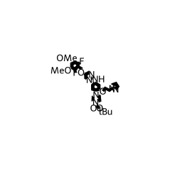 COc1cc(OC)c(F)c(COc2cnc(Nc3ccc(N4CCN(C(=O)OC(C)(C)C)CC4)c(OCCn4cccn4)c3)nc2)c1F